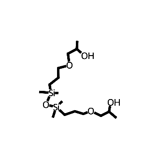 CC(O)COCCC[Si](C)(C)O[Si](C)(C)CCCOCC(C)O